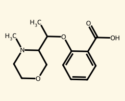 CC(Oc1ccccc1C(=O)O)C1COCCN1C